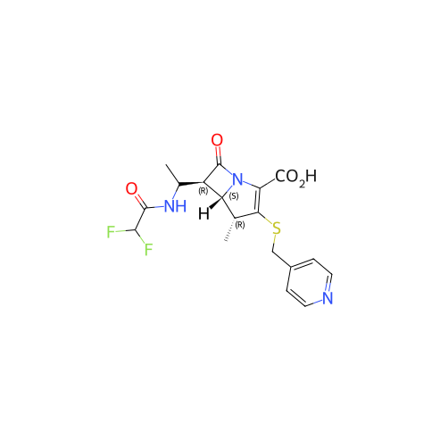 CC(NC(=O)C(F)F)[C@H]1C(=O)N2C(C(=O)O)=C(SCc3ccncc3)[C@H](C)[C@H]12